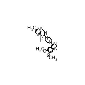 COc1cc2ncnc(N3CCN(/C(=N/C#N)Nc4cnc(C)cn4)CC3)c2cc1OC